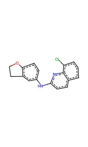 Clc1cccc2ccc(Nc3ccc4c(c3)CCO4)nc12